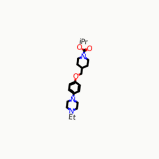 CCN1CCN(c2ccc(OCC3CCN(C(=O)OC(C)C)CC3)cc2)CC1